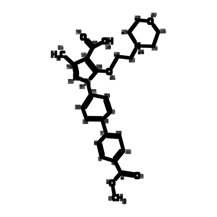 COC(=O)c1ccc(-c2ccc(-n3nc(C)c(C(=O)O)c3OCCN3CCOCC3)cc2)cc1